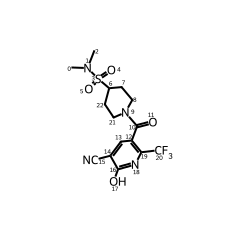 CN(C)S(=O)(=O)C1CCN(C(=O)c2cc(C#N)c(O)nc2C(F)(F)F)CC1